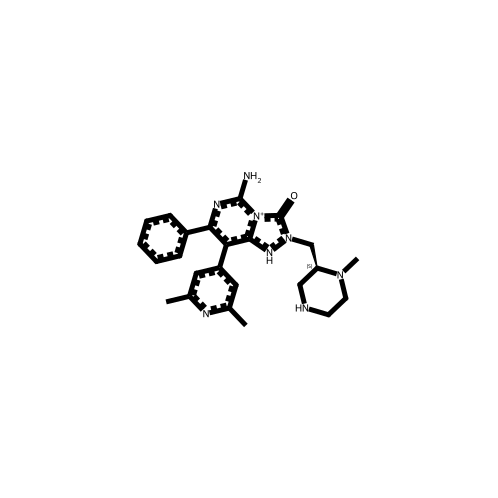 Cc1cc(-c2c(-c3ccccc3)nc(N)[n+]3c(=O)n(C[C@@H]4CNCCN4C)[nH]c23)cc(C)n1